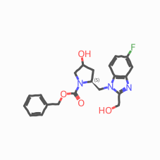 O=C(OCc1ccccc1)N1CC(O)C[C@H]1Cn1c(CO)nc2cc(F)ccc21